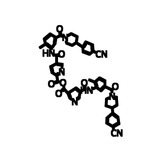 Cc1ccc(C(=O)N2CCC(c3ccc(C#N)cc3)CC2)cc1NC(=O)c1ccc(C(=O)OC(=O)c2cncc(C(=O)Nc3cc(C(=O)N4CCC(c5ccc(C#N)cc5)CC4)ccc3C)c2)nc1